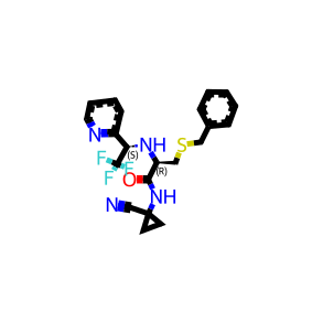 N#CC1(NC(=O)[C@H](CSCc2ccccc2)N[C@@H](c2ccccn2)C(F)(F)F)CC1